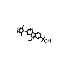 CCn1c2cc(C(C)(C)O)ccc2c2ncc(-c3c(C)noc3C)cc21